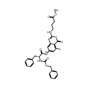 Cc1cc(NC(=O)[C@H](Cc2ccccc2)NC(=O)OCc2ccccc2)cc2nc(NCCCC(=O)OC(C)(C)C)oc(=O)c12